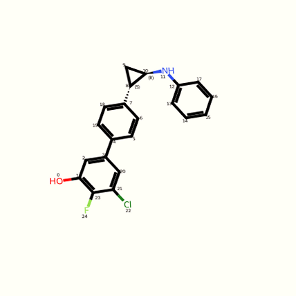 Oc1cc(-c2ccc([C@@H]3C[C@H]3Nc3ccccc3)cc2)cc(Cl)c1F